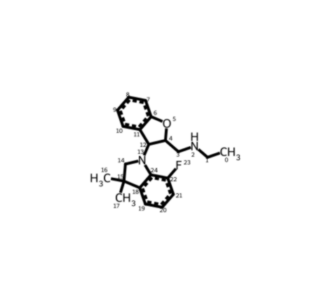 CCNCC1Oc2ccccc2C1N1CC(C)(C)c2cccc(F)c21